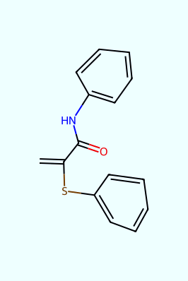 C=C(Sc1ccccc1)C(=O)Nc1ccccc1